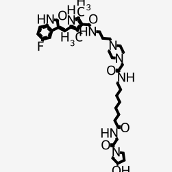 Cc1[nH]c(/C=C2\C(=O)Nc3ccc(F)cc32)c(C)c1C(=O)NCCCN1CCN(CC(=O)NCCCCCCCC(=O)NCC(=O)N2CC[C@@H](O)C2)CC1